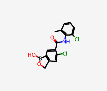 Cc1cccc(Cl)c1NC(=O)c1cc2c(cc1Cl)COB2O